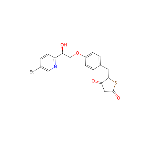 CCc1ccc([C@@H](O)COc2ccc(CC3SC(=O)CC3=O)cc2)nc1